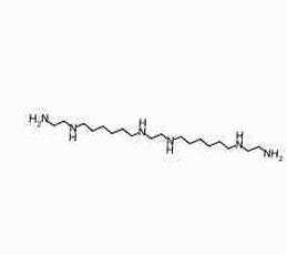 NCCNCCCCCCNCCNCCCCCCNCCN